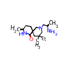 C=C(N)CN1CC(C)(CC)CC2(CCC(=C)NC2=O)C1